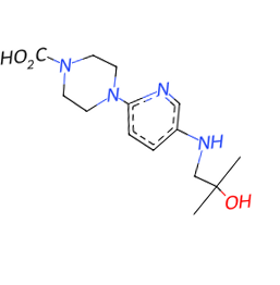 CC(C)(O)CNc1ccc(N2CCN(C(=O)O)CC2)nc1